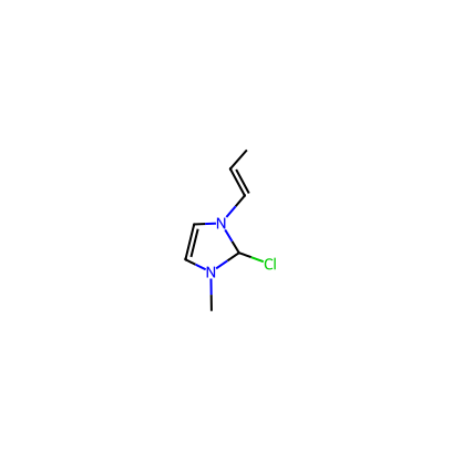 CC=CN1C=CN(C)C1Cl